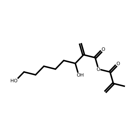 C=C(C)C(=O)OC(=O)C(=C)C(O)CCCCCO